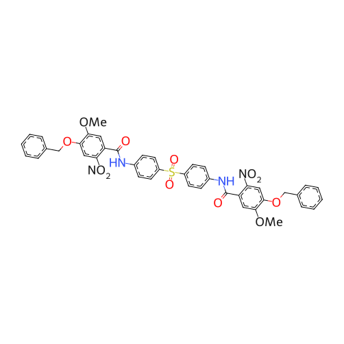 COc1cc(C(=O)Nc2ccc(S(=O)(=O)c3ccc(NC(=O)c4cc(OC)c(OCc5ccccc5)cc4[N+](=O)[O-])cc3)cc2)c([N+](=O)[O-])cc1OCc1ccccc1